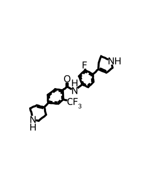 O=C(Nc1ccc(C2=CCNCC2)c(F)c1)c1ccc(C2=CCNCC2)cc1C(F)(F)F